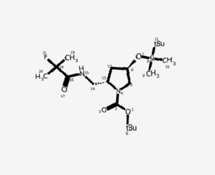 CC(C)(C)OC(=O)N1C[C@H](O[Si](C)(C)C(C)(C)C)C[C@H]1CNC(=O)C(C)(C)F